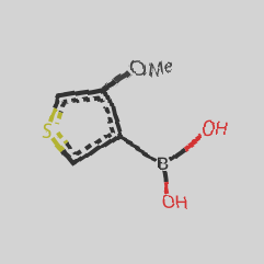 COc1cscc1B(O)O